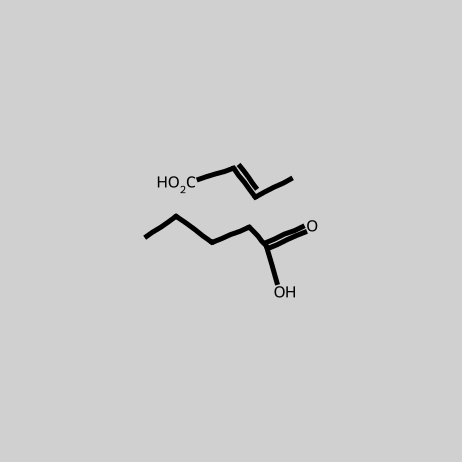 CC=CC(=O)O.CCCCC(=O)O